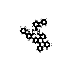 c1ccc(Cc2ccccc2-c2c(Cc3ccccc3)cccc2-c2nc(-c3cccc4c3sc3ccccc34)nc(-c3cccc4c3sc3ccccc34)n2)cc1